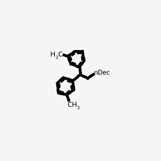 CCCCCCCCCCCC(c1cccc(C)c1)c1cccc(C)c1